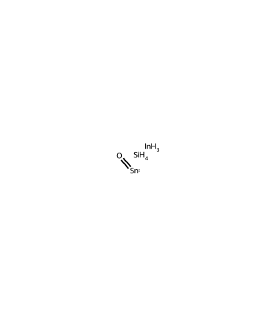 [InH3].[O]=[Sn].[SiH4]